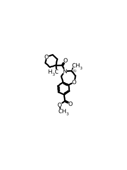 COC(=O)c1ccc2c(c1)OC[C@H](C)N(C(=O)C1(C)CCOCC1)C2